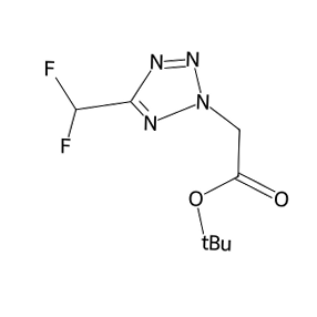 CC(C)(C)OC(=O)Cn1nnc(C(F)F)n1